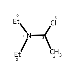 CCN(CC)C(C)Cl